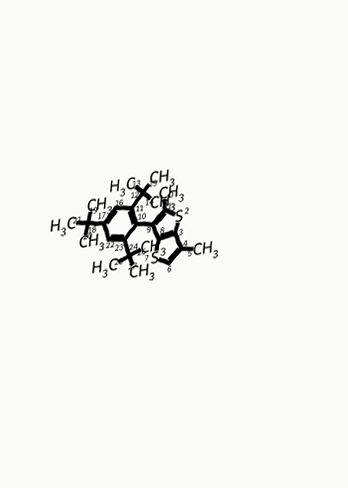 Cc1sc2c(C)csc2c1-c1c(C(C)(C)C)cc(C(C)(C)C)cc1C(C)(C)C